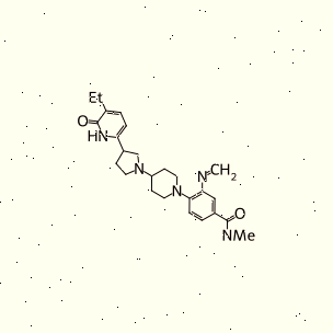 C=Nc1cc(C(=O)NC)ccc1N1CCC(N2CCC(c3ccc(CC)c(=O)[nH]3)C2)CC1